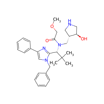 COCC(=O)N(C[C@@H]1CNC[C@H]1O)[C@@H](c1nc(-c2ccccc2)cn1Cc1ccccc1)C(C)(C)C